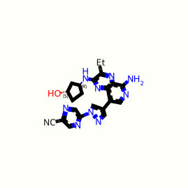 CCc1nc2c(N)ncc(-c3cnn(-c4cnc(C#N)cn4)c3)c2nc1N[C@@H]1CC[C@H](O)C1